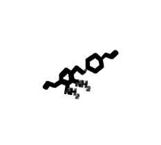 C=CCc1ccc(CC[C@H]2CC[C@H](CC=C)CC2)c(N)c1N